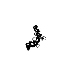 CCn1c(C=C2C(=O)c3cc4ccccc4cc3C2=O)cc2oc(-c3ccc4ccccc4c3)cc21